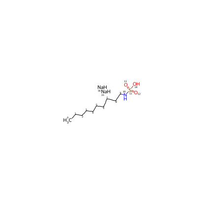 CCCCCCCCCCNS(=O)(=O)O.[NaH].[NaH]